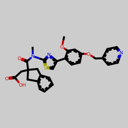 COc1cc(OCc2ccncc2)ccc1-c1csc(N(C)C(=O)C2(CC(=O)O)Cc3ccccc3C2)n1